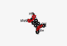 COc1ccc(N(c2ccc3c(c2)C2(c4cc(N(c5ccc(CO)cc5)c5cc6ccccc6s5)ccc4-3)c3cc(N(c4ccc(CO)cc4)c4cc5ccccc5s4)ccc3-c3ccc(N(c4ccc(OC)cc4)c4cc5ccccc5s4)cc32)c2cc3ccccc3s2)cc1